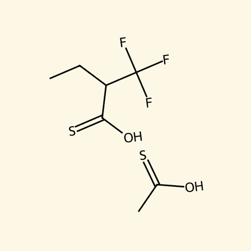 CC(O)=S.CCC(C(O)=S)C(F)(F)F